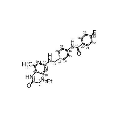 CCN1CC(=O)Nc2c(C)nc(NCc3ccc(NC(=O)c4ccc(F)cc4)cc3)nc21